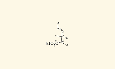 CC=CC(C)(C)C(C)C(=O)OCC